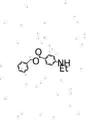 CCNc1ccc(C(=O)OCc2ccccc2)cc1